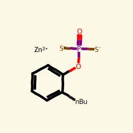 CCCCc1ccccc1OP(=O)([S-])[S-].[Zn+2]